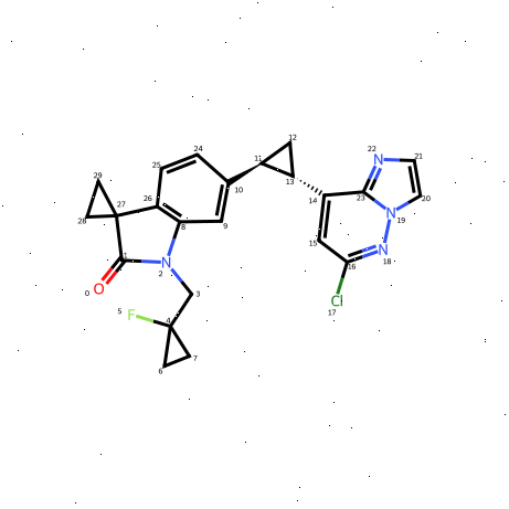 O=C1N(CC2(F)CC2)c2cc([C@H]3C[C@@H]3c3cc(Cl)nn4ccnc34)ccc2C12CC2